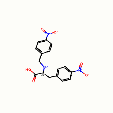 O=C(O)[C@H](Cc1ccc([N+](=O)[O-])cc1)NCc1ccc([N+](=O)[O-])cc1